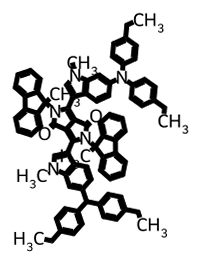 CCc1ccc(C(c2ccc(CC)cc2)c2ccc3c(C4=C5C(=O)N(C6(C)c7ccccc7-c7ccccc76)C(c6cn(C)c7cc(N(c8ccc(CC)cc8)c8ccc(CC)cc8)ccc67)=C5C(=O)N4C4(C)c5ccccc5-c5ccccc54)cn(C)c3c2)cc1